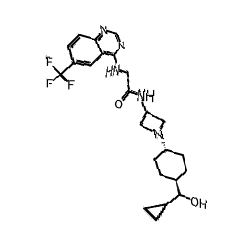 O=C(CNc1ncnc2ccc(C(F)(F)F)cc12)NC1CN([C@H]2CC[C@H](C(O)C3CC3)CC2)C1